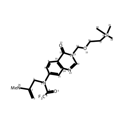 C=C(CN(C(=O)C(F)(F)F)c1ccc2c(=O)n(COCC[Si](C)(C)C)cnc2c1)NC